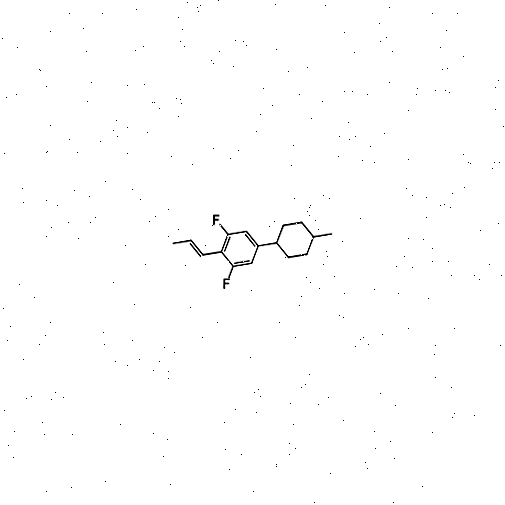 C/C=C/c1c(F)cc(C2CCC(C)CC2)cc1F